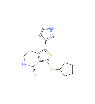 O=C1NCCc2c(-c3cc[nH]n3)sc(SC3CCCC3)c21